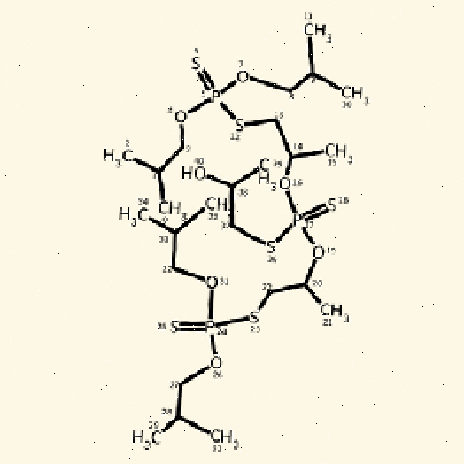 CC(C)COP(=S)(OCC(C)C)SCC(C)OP(=S)(OC(C)CSP(=S)(OCC(C)C)OCC(C)C)SCC(C)O